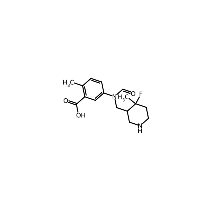 Cc1ccc(N(C=O)CC2CNCCC2(C)F)cc1C(=O)O